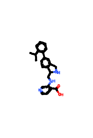 CC(C)c1ccccc1-c1ccc2c(c1)CNC2CNc1cnccc1C(=O)O